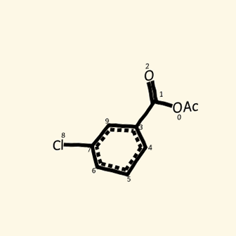 CC(=O)OC(=O)c1cccc(Cl)c1